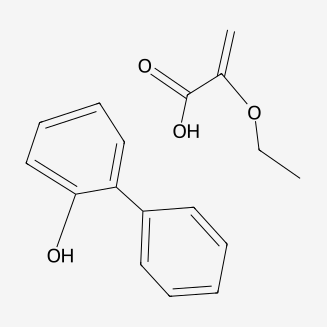 C=C(OCC)C(=O)O.Oc1ccccc1-c1ccccc1